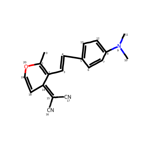 CC1=C(/C=C/c2ccc(N(C)C)cc2)C(=C(C#N)C#N)C=CO1